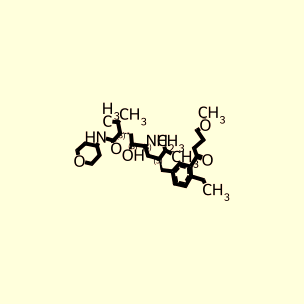 CCc1ccc(C[C@@H](C[C@H](N)[C@@H](O)C[C@H](C(=O)NC2CCOCC2)C(C)C)C(C)C)cc1C(=O)CCCOC